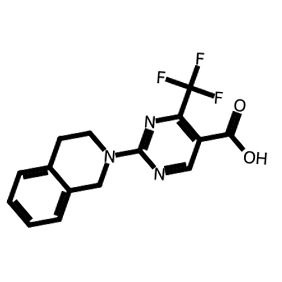 O=C(O)c1cnc(N2CCc3ccccc3C2)nc1C(F)(F)F